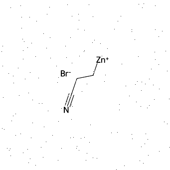 N#CC[CH2][Zn+].[Br-]